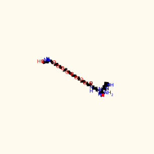 Nc1ncnc2c1c(-c1cnc3[nH]ccc3c1)nn2CCCCNC(=O)CCOCCOCCOCCOCCOCCOCCOCCOCCn1cc(CO)nn1